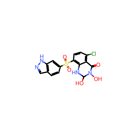 O=C1c2c(Cl)ccc(S(=O)(=O)c3ccc4cn[nH]c4c3)c2NC(O)N1O